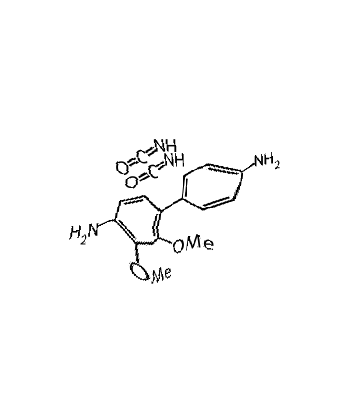 COc1c(N)ccc(-c2ccc(N)cc2)c1OC.N=C=O.N=C=O